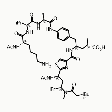 CC[C@H](C)CC(=O)N(C)[C@H](C[C@@H](NC(C)=O)c1nc(C(=O)N[C@@H](Cc2ccc(NC(=O)[C@H](C)NC(=O)[C@@H](NC(=O)[C@H](CCCCN)NC(C)=O)C(C)C)cc2)C[C@H](C)C(=O)O)cs1)C(C)C